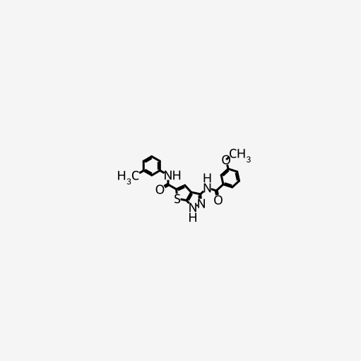 COc1cccc(C(=O)Nc2n[nH]c3sc(C(=O)Nc4cccc(C)c4)cc23)c1